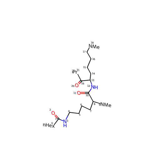 CCCCCCC(=O)NCCCCC(NC)C(=O)NC(CCCCNC)C(=O)C(C)C